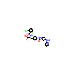 O=C(N[C@@H](Cc1ccc(NC(=O)[C@H]2CC[C@H](Nc3ccccn3)C2)cc1)C(=O)O)c1c(Cl)cccc1Cl